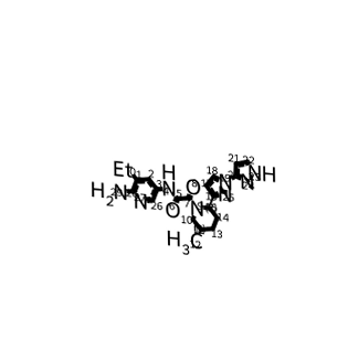 CCc1cc(NC(=O)C(=O)N2C[C@@H](C)CC[C@@H]2c2ccn(-c3cc[nH]n3)n2)cnc1N